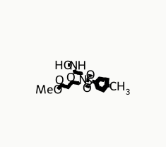 COC(=O)CCCN(CC(=O)NO)S(=O)(=O)c1ccc(C)cc1